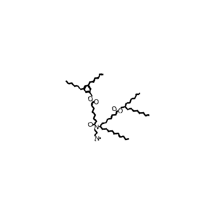 CCCCCCCCCCC(CCCCCCC(=O)OCC(CCCCCC)CCCCCCCC)N(CCCN(C)C)C(=O)CCCCCCC(=O)OCc1cc(CCCCCC)cc(CCCCCC)c1